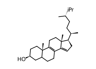 CC(C)[C@@H](C)CC[C@@H](C)[C@H]1CC=C2C3=C(CC[C@@]21C)[C@@]1(C)CC[C@H](O)CC1CC3